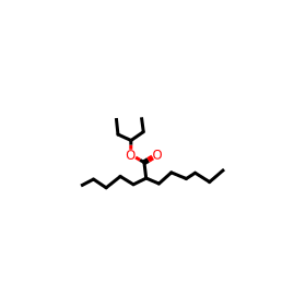 CCCCCCC(CCCCC)C(=O)OC(CC)CC